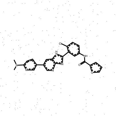 CN(C)c1ccc(-c2cnc3nc(-c4cc(NC(=O)c5ccco5)ccc4Cl)[nH]c3c2)cn1